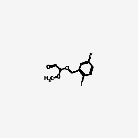 COB(C=O)OCc1cc(F)ccc1I